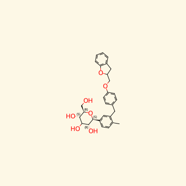 Cc1ccc([C@@H]2O[C@H](CO)[C@@H](O)C(O)[C@H]2O)cc1Cc1ccc(OCC2Cc3ccccc3O2)cc1